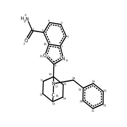 NC(=O)c1cccc2nc(C34CCC(CC3)CN4Cc3ccccc3)oc12